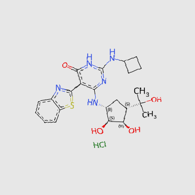 CC(C)(O)[C@H]1C[C@@H](Nc2nc(NC3CCC3)[nH]c(=O)c2-c2nc3ccccc3s2)[C@H](O)[C@@H]1O.Cl